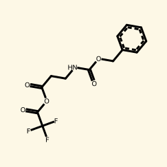 O=C(CCNC(=O)OCc1ccccc1)OC(=O)C(F)(F)F